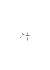 CCCCCCCCC(CCCC)(C(=O)O)C(CCCC)CCCCCCC